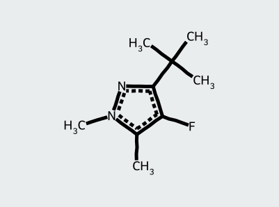 Cc1c(F)c(C(C)(C)C)nn1C